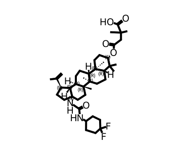 C=C(C)[C@@H]1CC[C@]2(NC(=O)NC3CCC(F)(F)CC3)CC[C@]3(C)[C@H](CC[C@@H]4[C@@]5(C)CC[C@H](OC(=O)CC(C)(C)C(=O)O)C(C)(C)[C@@H]5CC[C@]43C)[C@@H]12